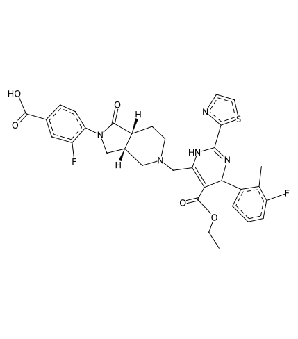 CCOC(=O)C1=C(CN2CC[C@H]3C(=O)N(c4ccc(C(=O)O)cc4F)C[C@H]3C2)NC(c2nccs2)=NC1c1cccc(F)c1C